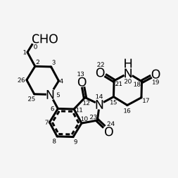 O=CCC1CCN(c2cccc3c2C(=O)N(C2CCC(=O)NC2=O)C3=O)CC1